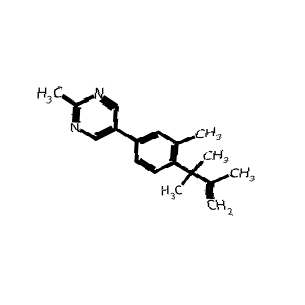 C=C(C)C(C)(C)c1ccc(-c2cnc(C)nc2)cc1C